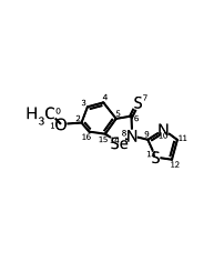 COc1ccc2c(=S)n(-c3nccs3)[se]c2c1